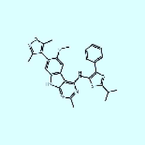 COc1cc2c(cc1-c1c(C)noc1C)[nH]c1nc(C)nc(Nc3sc(C(C)C)nc3-c3ccccc3)c12